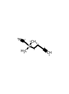 C#CCCS(C)(C)C#N